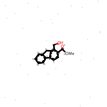 COC(=O)c1ccc2c(c1CO)Cc1ccccc1-2